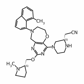 Cc1cccc2cccc(N3CCOc4c(nc(OC[C@@H]5CCCN5C)nc4N4CCN[C@@H](CC#N)C4)C3)c12